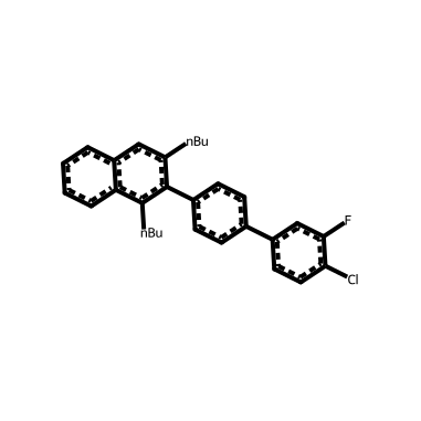 CCCCc1cc2ccccc2c(CCCC)c1-c1ccc(-c2ccc(Cl)c(F)c2)cc1